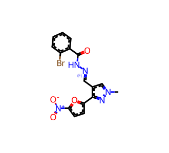 Cn1cc(/C=N/NC(=O)c2ccccc2Br)c(-c2ccc([N+](=O)[O-])o2)n1